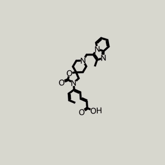 C\C=C/C(=C\C=C\C(=O)O)N1CC2(CCN(Cc3c(C)nc4ccccn34)CC2)OC1=O